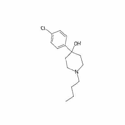 CCCCN1CCC(O)(c2ccc(Cl)cc2)CC1